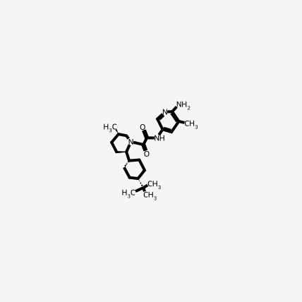 Cc1cc(NC(=O)C(=O)N2C[C@@H](C)CC[C@@H]2[C@H]2CC[C@@H](C(C)(C)C)CC2)cnc1N